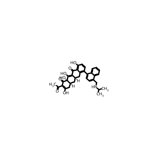 CC(=O)C1=C(O)C[C@@H]2C[C@@H]3Cc4c(-c5ccc(CNC(C)C)c6ccccc56)ccc(O)c4C(=O)C3=C(O)[C@]2(O)C1=O